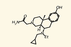 CCN(CC1CC1)[C@@H]1Cc2ccc(O)cc2[C@@]2(C)CCN(CC(N)=O)C[C@@H]12